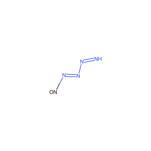 N=N/N=N/N=O